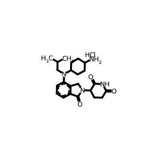 CC(C)CN(c1cccc2c1CN(C1CCC(=O)NC1=O)C2=O)C1CCC(N)CC1.Cl